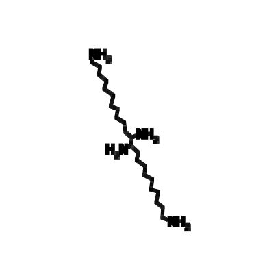 NCCCCCCCCCCCC(N)C(N)CCCCCCCCCCN